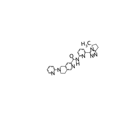 C[C@@H]1CCc2nnc(-c3cccc(NC(=O)c4cc5c(cn4)CCN(c4ccccn4)C5)n3)n21